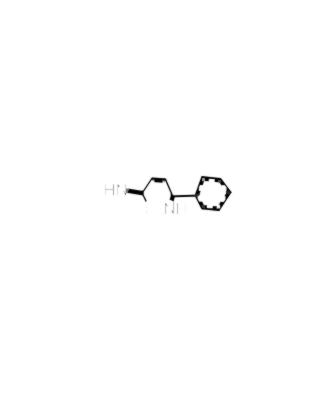 N=C(Cl)/C=C\C(=N)c1ccccc1